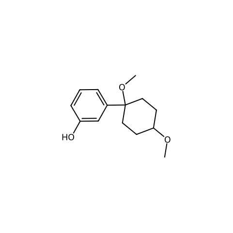 COC1CCC(OC)(c2cccc(O)c2)CC1